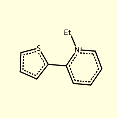 CC[n+]1ccccc1-c1cccs1